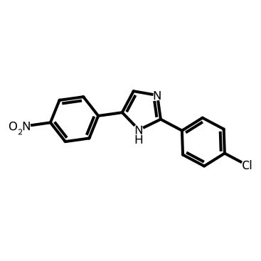 O=[N+]([O-])c1ccc(-c2cnc(-c3ccc(Cl)cc3)[nH]2)cc1